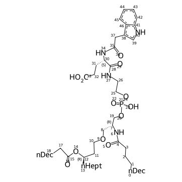 CCCCCCCCCCCCCC(=O)N[C@H](COCC[C@@H](CCCCCCC)OC(=O)CCCCCCCCCCC)COP(=O)(O)OCCNC(=O)[C@H](CCC(=O)O)NC(=O)Cc1c[nH]c2ccccc12